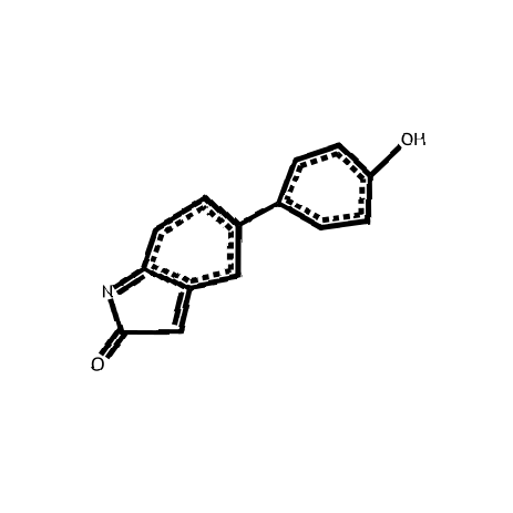 O=C1C=c2cc(-c3ccc(O)cc3)ccc2=N1